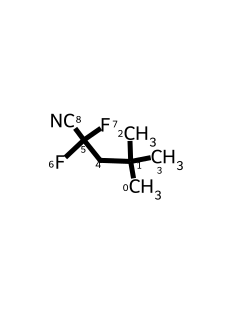 CC(C)(C)CC(F)(F)C#N